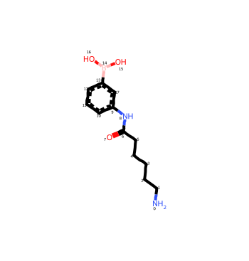 NCCCCCC(=O)Nc1cccc(B(O)O)c1